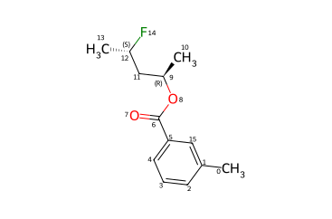 Cc1cccc(C(=O)O[C@H](C)C[C@H](C)F)c1